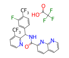 O=C(NC(c1ccc(C(F)(F)F)c(F)c1)c1ncccc1C(F)(F)F)c1ccc2cccnc2n1.O=C(O)C(F)(F)F